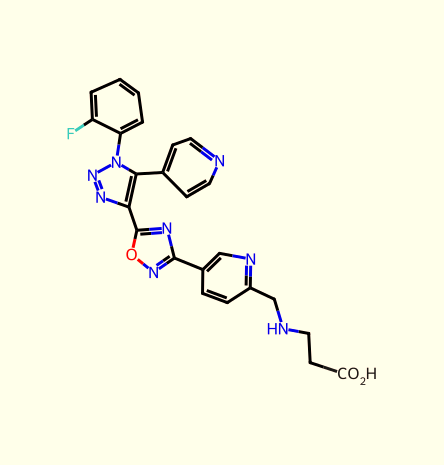 O=C(O)CCNCc1ccc(-c2noc(-c3nnn(-c4ccccc4F)c3-c3ccncc3)n2)cn1